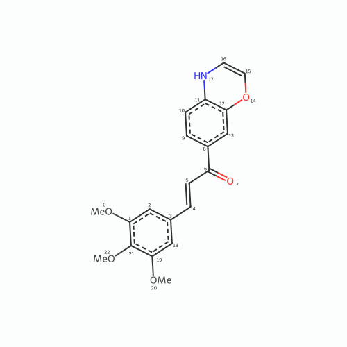 COc1cc(C=CC(=O)c2ccc3c(c2)OC=CN3)cc(OC)c1OC